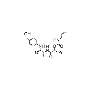 C=CCNC(=O)O[C@H](C(=O)N[C@@H](C)C(=O)Nc1ccc(CO)cc1)C(C)C